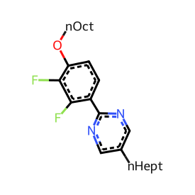 CCCCCCCCOc1ccc(-c2ncc(CCCCCCC)cn2)c(F)c1F